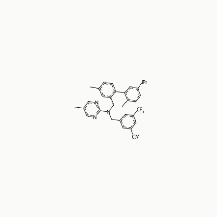 Cc1cnc(N(Cc2cc(C#N)cc(C(F)(F)F)c2)Cc2cc(C)ccc2-c2cc(C(C)C)ccc2C)nc1